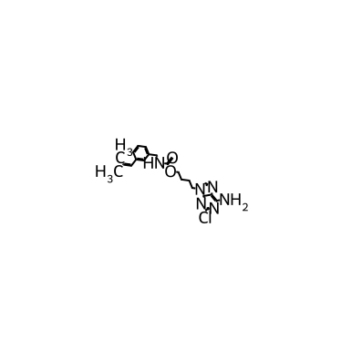 CC(C)=Cc1cccc(CNC(=O)OCCCCn2cnc3c(N)nc(Cl)nc32)c1